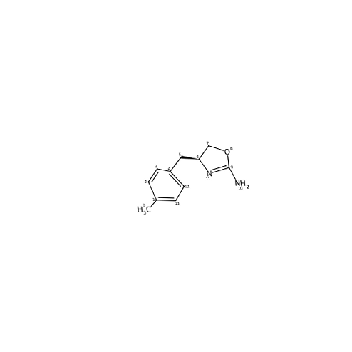 Cc1ccc(C[C@H]2COC(N)=N2)cc1